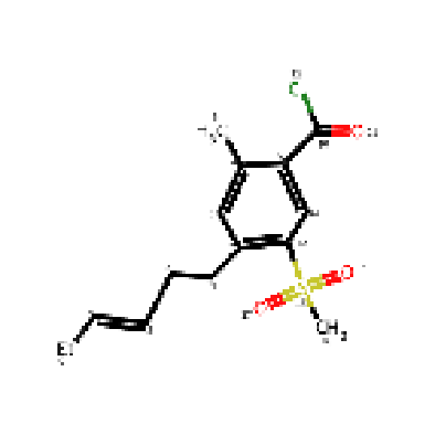 CCC=CCCc1cc(C)c(C(=O)Cl)cc1S(C)(=O)=O